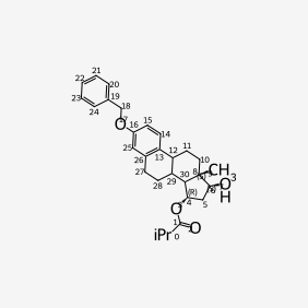 CC(C)C(=O)O[C@@H]1C[C@H](O)[C@@]2(C)CCC3c4ccc(OCc5ccccc5)cc4CCC3C12